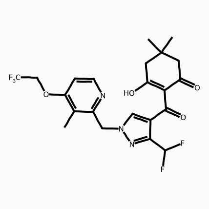 Cc1c(OCC(F)(F)F)ccnc1Cn1cc(C(=O)C2=C(O)CC(C)(C)CC2=O)c(C(F)F)n1